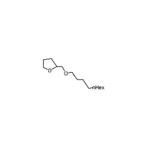 CCCCCCCCCCOCC1CCCO1